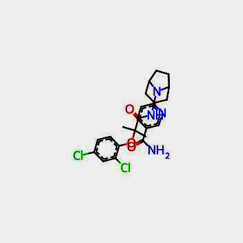 CC(C)(Oc1ccc(Cl)cc1Cl)C(=O)NC1CC2CCC(C1)N2c1ccc(C(N)=O)cn1